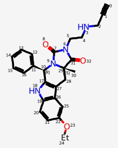 C#CCNCCN1C(=O)N2[C@H](c3ccccc3)c3[nH]c4ccc(OCC)cc4c3C[C@@]2(C)C1=O